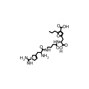 CCCc1oc(CC(NC(=O)CCCNC(=O)C(N)CC2=CCN(C(=N)N)C2)C(=O)O)cc1C(=O)O